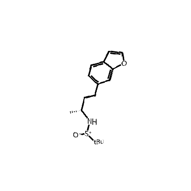 C[C@H](CCc1ccc2ccoc2c1)N[S+]([O-])C(C)(C)C